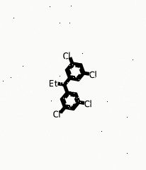 CCC(c1cc(Cl)cc(Cl)c1)c1cc(Cl)cc(Cl)c1